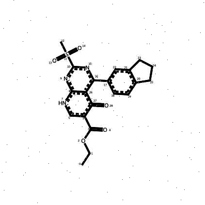 CCOC(=O)c1c[nH]c2nc(S(C)(=O)=O)nc(-c3ccc4c(c3)CCC4)c2c1=O